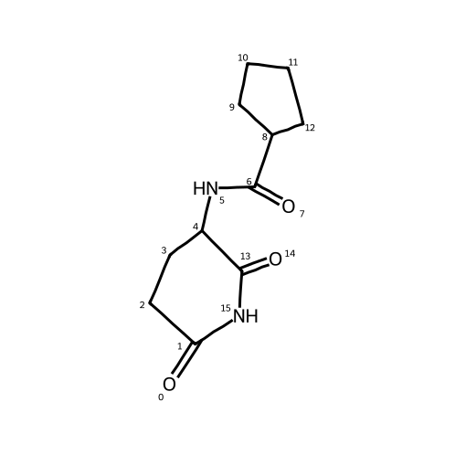 O=C1CCC(NC(=O)C2CCCC2)C(=O)N1